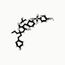 CCCC1(CCc2ccc(F)cc2)CC(O)=C([C@@H](c2cccc(NS(=O)(=O)c3ccc(N)cn3)c2)C(C)(C)C)C(=O)O1